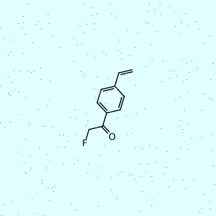 C=Cc1ccc(C(=O)CF)cc1